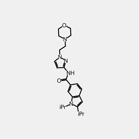 CC(C)c1cc2ccc(C(=O)Nc3ccn(CCN4CCOCC4)n3)cc2n1C(C)C